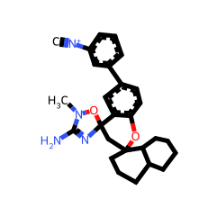 [C-]#[N+]c1cccc(-c2ccc3c(c2)C2(CC4(CCCC5CCCCC54)O3)N=C(N)N(C)O2)c1